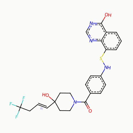 O=C(c1ccc(NSc2cccc3c(O)ncnc23)cc1)N1CCC(O)(/C=C/CC(F)(F)F)CC1